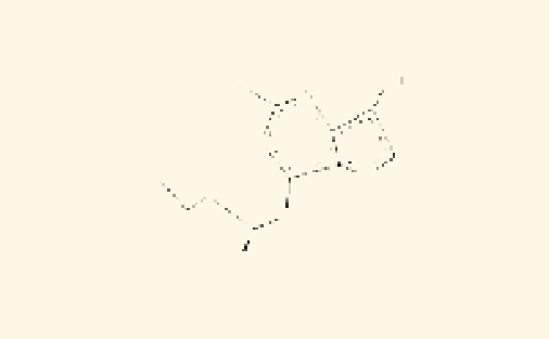 CCC[C@@H](CCO)Nc1nc(N)nc2c(C)csc12